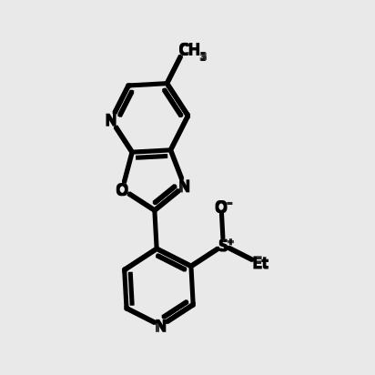 CC[S+]([O-])c1cnccc1-c1nc2cc(C)cnc2o1